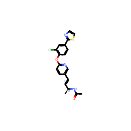 CC(=O)N[C@@H](C)/C=C/c1ccc(Oc2ccc(-c3nccs3)cc2Cl)nc1